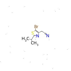 CC(C)c1nc(CC#N)c(Br)s1